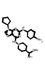 CCCC(OC)C1CCN(Nc2nc(NC3CCC(N)CC3)nc3c2ncn3C2CCCC2)CC1